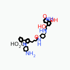 N[C@H]1CC[C@H](N(C(=O)O)c2cc(CCCC(=O)N[C@H]3CC[C@H](CNCC(O)c4ccc(O)c5[nH]c(=O)ccc45)CC3)ccc2-c2ccccc2)CC1